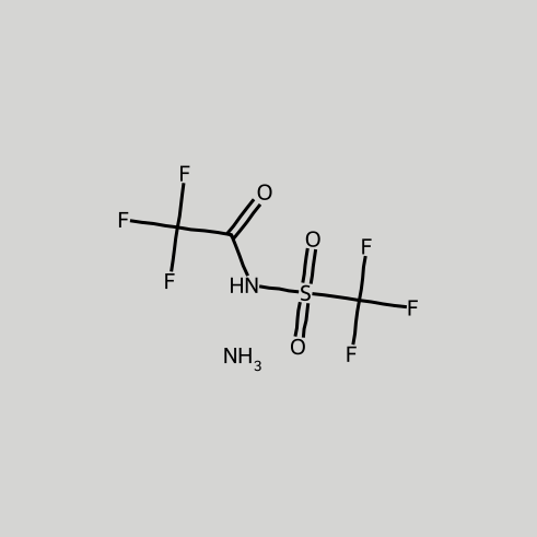 N.O=C(NS(=O)(=O)C(F)(F)F)C(F)(F)F